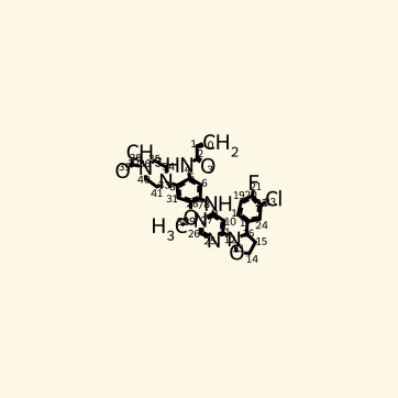 C=CC(=O)Nc1cc(Nc2cc(N3OCCC3c3ccc(F)c(Cl)c3)ncn2)c(OC)cc1N1CCN(C(C)=O)CC1